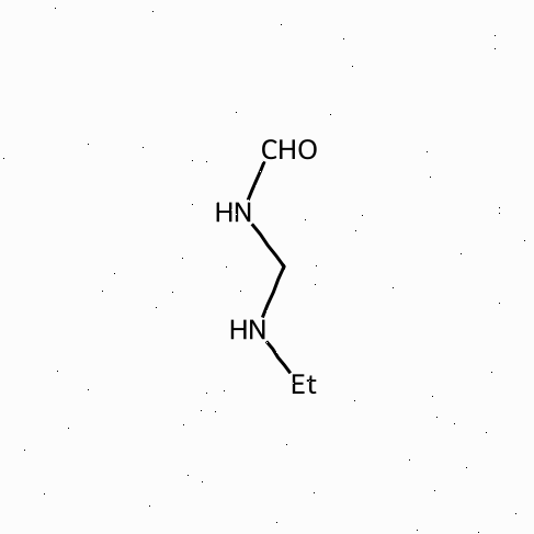 CCNCNC=O